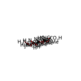 COc1ccc(NC(=O)[C@H](CCCCN)NC(=O)c2cc(NC(=O)[C@H](CCCCN)NC(=O)c3cc(NC(=O)[C@H](CCCCN)NC(=O)c4cc(NC(=O)[C@@H](N)CCCCN)ccc4OC)ccc3OC)ccc2OC)cc1C(=O)N[C@@H](CCC(=O)O)C(=O)O